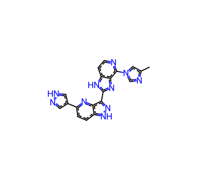 Cc1cn(-c2nccc3[nH]c(-c4n[nH]c5ccc(-c6cn[nH]c6)nc45)nc23)cn1